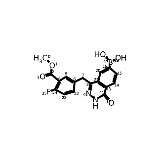 COC(=O)c1cc(Cc2n[nH]c(=O)c3ccc(B(O)O)cc23)ccc1F